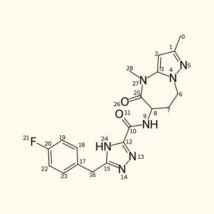 Cc1cc2n(n1)CCC(NC(=O)c1nnc(Cc3ccc(F)cc3)[nH]1)C(=O)N2C